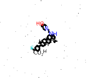 C=C(C)[C@@H]1CC[C@]2(NCCN3CCC(C)(O)CC3)CC[C@]3(C)[C@H](CC[C@@H]4[C@@]5(C)CC=C(C6=CC[C@](CF)(C(=O)O)CC6)C(C)(C)[C@@H]5CC[C@]43C)[C@@H]12